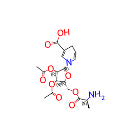 CC(=O)O[C@@H]1[C@H](OC(C)=O)[C@@H](COC(=O)[C@H](C)N)O[C@H]1N1C=CCC(C(=O)O)=C1